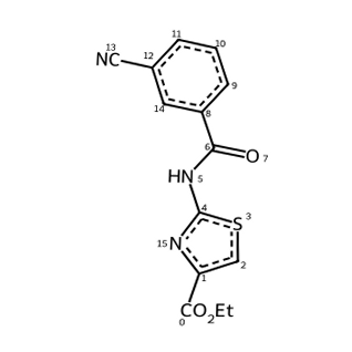 CCOC(=O)c1csc(NC(=O)c2cccc(C#N)c2)n1